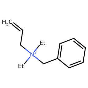 C=CC[N+](CC)(CC)Cc1ccccc1